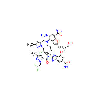 C=C(F)Cn1nc(C)cc1CN(C/C=C/Cn1c(NC(=O)c2cc(C)nn2CC(F)F)nc2cc(C(N)=O)cc(OCCCO)c21)c1c(N)cc(C(N)=O)c2oc(C)cc12